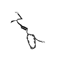 CCc1cccc(/C=C/[C@@H](C)CO)c1